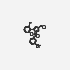 O=Cc1cc(-c2ccccc2F)n(S(=O)(=O)c2cccc(Br)c2)c1